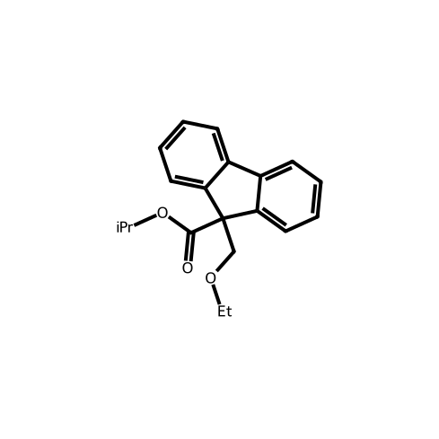 CCOCC1(C(=O)OC(C)C)c2ccccc2-c2ccccc21